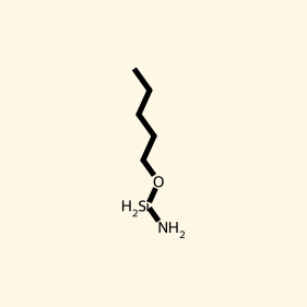 CCCCCO[SiH2]N